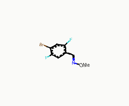 CO/N=C/c1cc(F)c(Br)cc1F